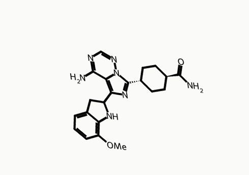 COc1cccc2c1NC(c1nc([C@H]3CC[C@H](C(N)=O)CC3)n3ncnc(N)c13)C2